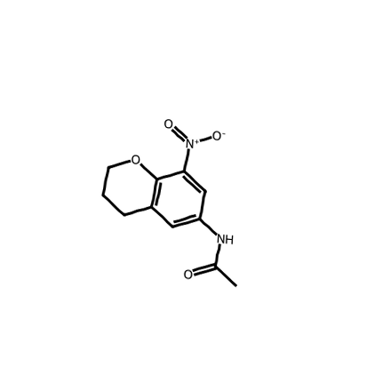 CC(=O)Nc1cc2c(c([N+](=O)[O-])c1)OCCC2